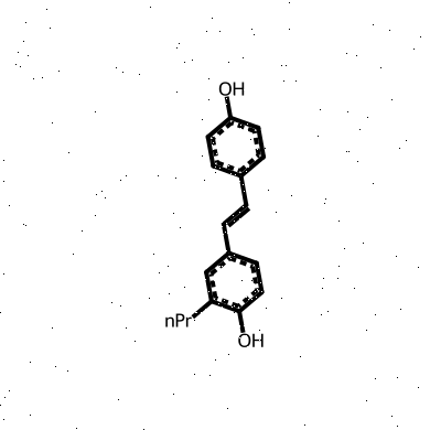 CCCc1cc(C=Cc2ccc(O)cc2)ccc1O